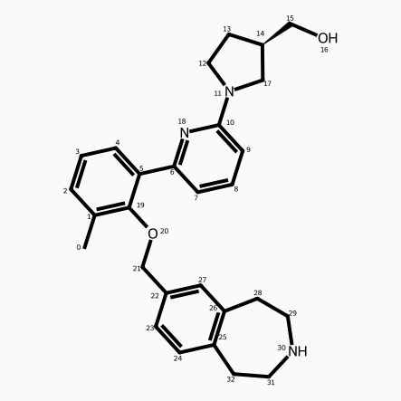 Cc1cccc(-c2cccc(N3CC[C@@H](CO)C3)n2)c1OCc1ccc2c(c1)CCNCC2